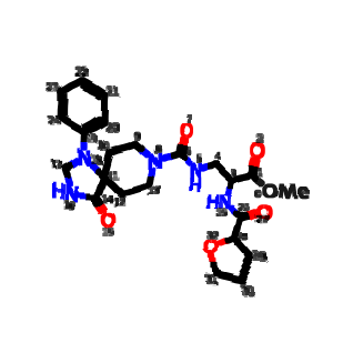 COC(=O)C(CNC(=O)N1CCC2(CC1)C(=O)NCN2c1ccccc1)NC(=O)C1CCCO1